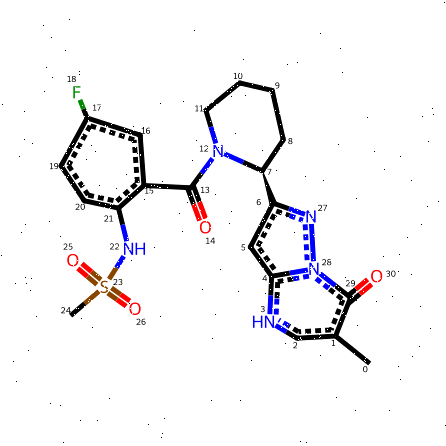 Cc1c[nH]c2cc([C@@H]3CCCCN3C(=O)c3cc(F)ccc3NS(C)(=O)=O)nn2c1=O